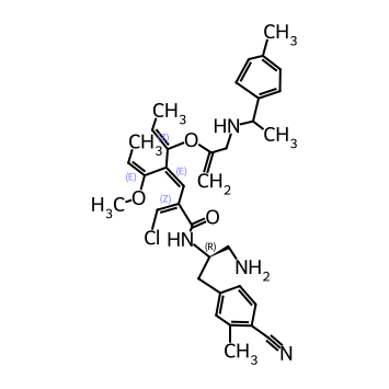 C=C(CNC(C)c1ccc(C)cc1)OC(=C\C)/C(=C/C(=C/Cl)C(=O)N[C@@H](CN)Cc1ccc(C#N)c(C)c1)C(=C\C)/OC